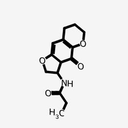 CCC(=O)NC1COC2=CC3=C(OCCC3)C(=O)C21